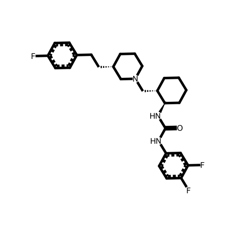 O=C(Nc1ccc(F)c(F)c1)N[C@@H]1CCCC[C@H]1CN1CCC[C@@H](CCc2ccc(F)cc2)C1